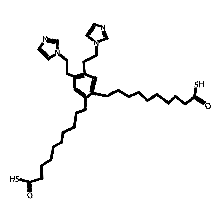 O=C(S)CCCCCCCCCc1cc(CCn2ccnc2)c(CCn2ccnc2)cc1CCCCCCCCCC(=O)S